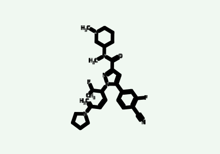 C=C(/C=C\C(C(C)F)n1nc(C(=O)N(C)C2CCCN(C)C2)cc1-c1ccc(C#N)c(F)c1)N1CCCC1